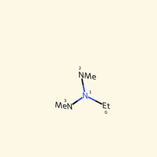 CCN(NC)NC